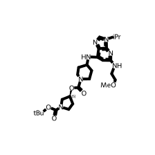 COCCNc1cc(NC2CCN(C(=O)O[C@H]3CCN(C(=O)OC(C)(C)C)C3)CC2)c2ncn(C(C)C)c2n1